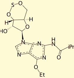 CCOc1nc(NC(=O)C(C)C)nc2c1ncn2[C@@H]1O[C@@H]2COSO[C@H]2[C@H]1O